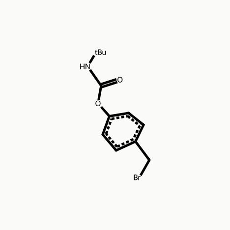 CC(C)(C)NC(=O)Oc1ccc(CBr)cc1